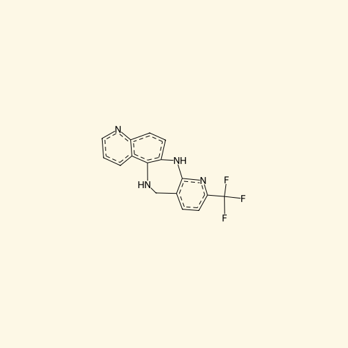 FC(F)(F)c1ccc2c(n1)Nc1ccc3ncccc3c1NC2